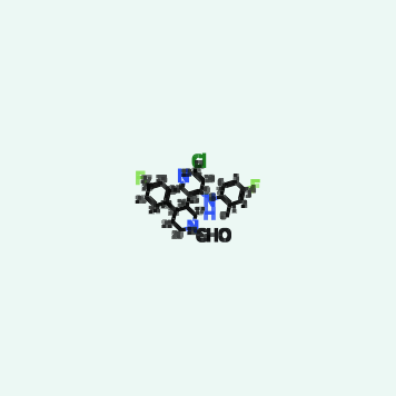 Cc1cc(F)ccc1Nc1cc(Cl)ncc1C1CN(C=O)CCC1c1ccc(F)cc1